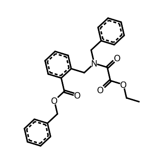 CCOC(=O)C(=O)N(Cc1ccccc1)Cc1ccccc1C(=O)OCc1ccccc1